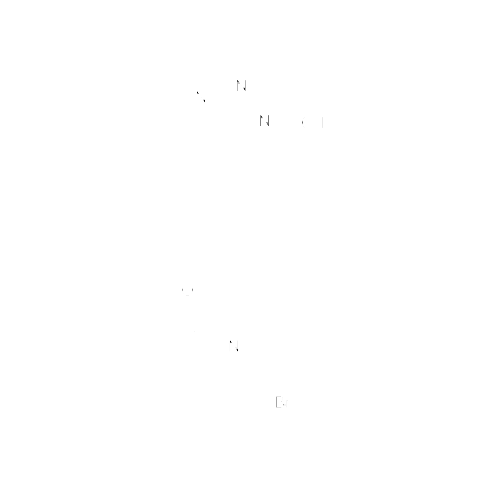 Cn1nnc2ccc(COc3cccc(Br)n3)cc21